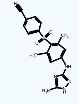 Cc1cc(Nc2n[nH]c(N)n2)cc(C)c1S(=O)(=O)c1ccc(C#N)cc1